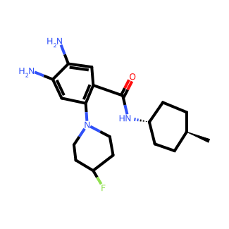 C[C@H]1CC[C@H](NC(=O)c2cc(N)c(N)cc2N2CCC(F)CC2)CC1